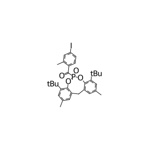 Cc1cc2c(c(C(C)(C)C)c1)OP(=O)(C(=O)c1ccc(I)cc1C)Oc1c(cc(C)cc1C(C)(C)C)C2